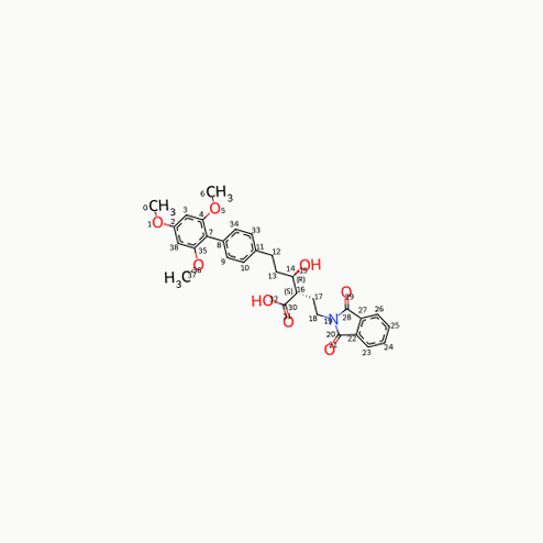 COc1cc(OC)c(-c2ccc(CC[C@@H](O)[C@H](CCN3C(=O)c4ccccc4C3=O)C(=O)O)cc2)c(OC)c1